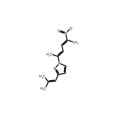 CC(C)=Cc1ccn(/C(C)=C/C=C(\C)[N+](=O)[O-])n1